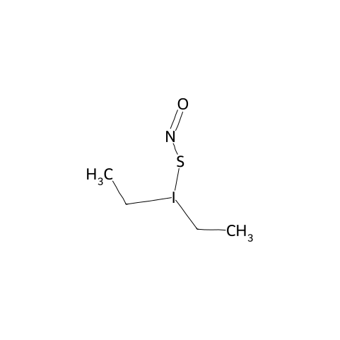 CCI(CC)SN=O